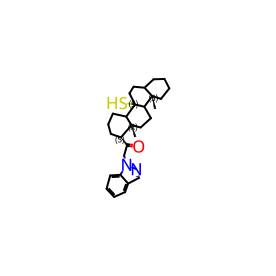 C[C@]12CCCCC1CC[C@]1(S)C2CC[C@@]2(C)C1CCC[C@@H]2C(=O)Cn1ncc2ccccc21